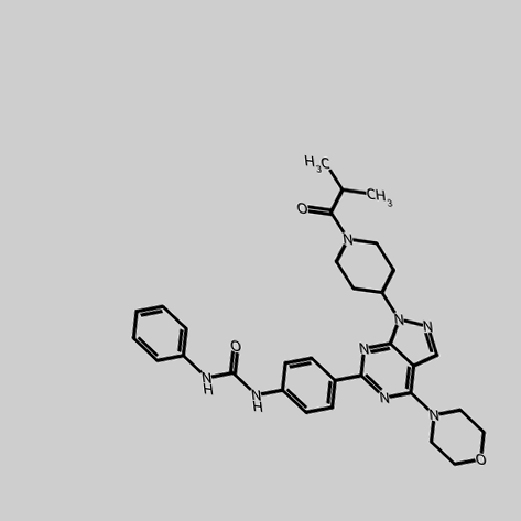 CC(C)C(=O)N1CCC(n2ncc3c(N4CCOCC4)nc(-c4ccc(NC(=O)Nc5ccccc5)cc4)nc32)CC1